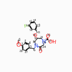 COc1ccc(CN2CC(OCc3cccc(F)c3)CN(C(=O)O)CC2=O)cc1